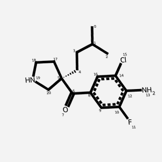 CC(C)CC[C@@]1(C(=O)c2cc(F)c(N)c(Cl)c2)CCNC1